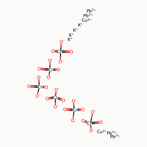 [Cu+2].[Cu+2].[K+].[K+].[K+].[K+].[O]=[Cr](=[O])([O-])[O-].[O]=[Cr](=[O])([O-])[O-].[O]=[Cr](=[O])([O-])[O-].[O]=[Cr](=[O])([O-])[O-].[O]=[Cr](=[O])([O-])[O-].[O]=[Cr](=[O])([O-])[O-].[Pb+2].[Pb+2].[Pb+2].[Pb+2]